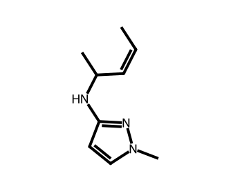 C/C=C\C(C)Nc1ccn(C)n1